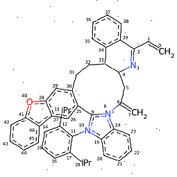 C=CC1=NC2CC(=C)[n+]3c(n(-c4c(C(C)C)cccc4C(C)C)c4ccccc43)-c3cc4c(cc3CCC2c2ccccc21)oc1ccccc14